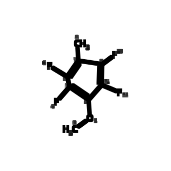 COc1c(F)c(F)c(C)c(F)c1F